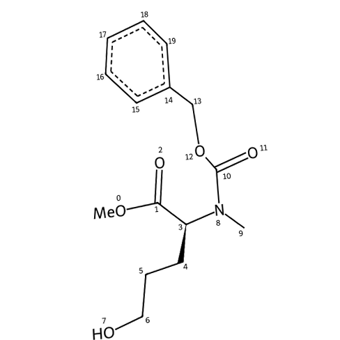 COC(=O)[C@H](CCCO)N(C)C(=O)OCc1ccccc1